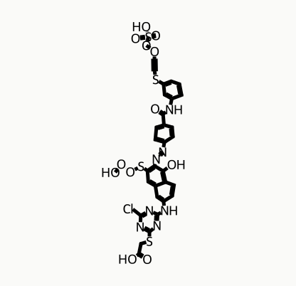 O=C(O)CSc1nc(Cl)nc(Nc2ccc3c(O)c(N=Nc4ccc(C(=O)Nc5cccc(SC#COOS(=O)(=O)O)c5)cc4)c(SOOO)cc3c2)n1